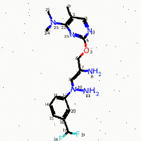 Cc1cnc(OC/C(N)=C/N(N)c2cccc(C(F)F)c2)nc1N(C)C